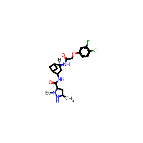 CCN1NC(C)CC1C(=O)NC1C[C@H](NC(=O)COc2ccc(Cl)c(F)c2)C2CC1C2